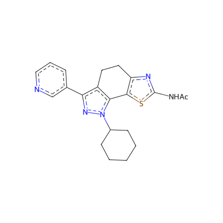 CC(=O)Nc1nc2c(s1)-c1c(c(-c3cccnc3)nn1C1CCCCC1)CC2